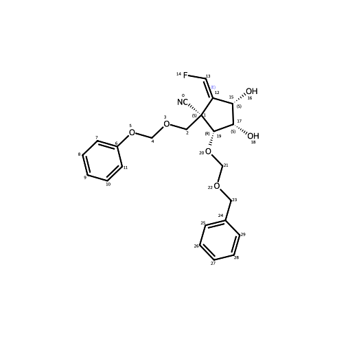 N#C[C@]1(COCOc2ccccc2)/C(=C\F)[C@H](O)[C@H](O)[C@@H]1OCOCc1ccccc1